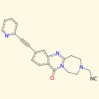 [C-]#[N+]CN1CCc2nc3cc(C#Cc4ccccn4)ccc3c(=O)n2CC1